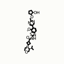 COc1c(-c2cnc(CO[C@H]3CCC[C@@H]3O)nc2)ccc2nc(NC(=O)C3CC(N4CCOC[C@@H]4C(C)C)C3)sc12